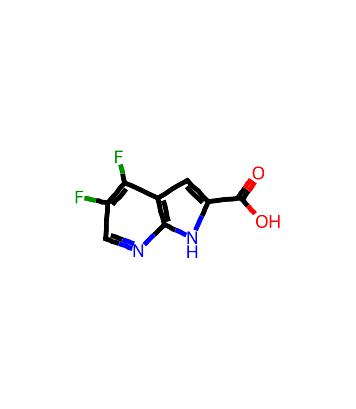 O=C(O)c1cc2c(F)c(F)cnc2[nH]1